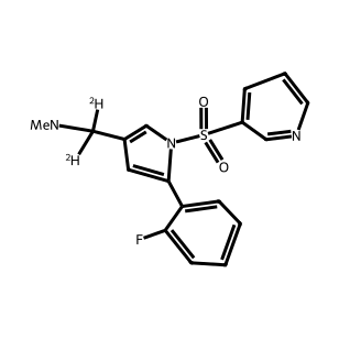 [2H]C([2H])(NC)c1cc(-c2ccccc2F)n(S(=O)(=O)c2cccnc2)c1